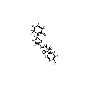 Cc1ccc(S(=O)(=O)/N=C/c2ccc(-c3c(C)cccc3C)s2)cc1